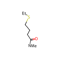 CCSCCCC(=O)NC